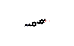 C/C=C/CC[C@H]1CC[C@H](CCC2CCC(CO)CC2)CC1